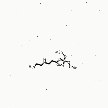 COO[Si](OC)(OCCCNCCN)OOC